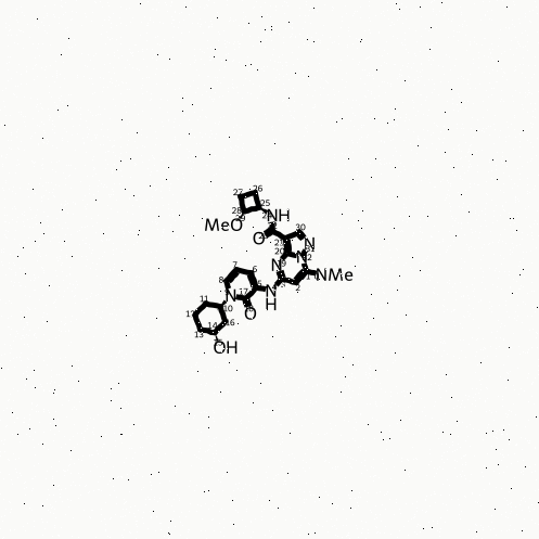 CNc1cc(Nc2cccn([C@@H]3CCC[C@@H](O)C3)c2=O)nc2c(C(=O)N[C@@H]3CC[C@H]3OC)cnn12